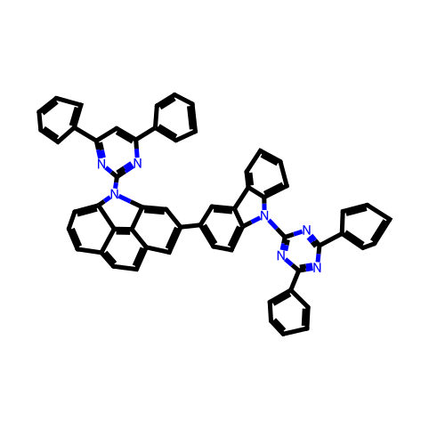 c1ccc(-c2cc(-c3ccccc3)nc(-n3c4cccc5ccc6cc(-c7ccc8c(c7)c7ccccc7n8-c7nc(-c8ccccc8)nc(-c8ccccc8)n7)cc3c6c54)n2)cc1